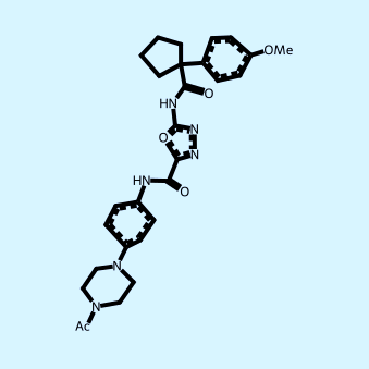 COc1ccc(C2(C(=O)Nc3nnc(C(=O)Nc4ccc(N5CCN(C(C)=O)CC5)cc4)o3)CCCC2)cc1